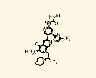 CCNC(=O)Nc1cc(-c2nc(C(F)(F)F)cs2)c(-c2cc3c(=O)c(C(=O)O)cn(CC(C)N4CCOCC4)c3cn2)cn1